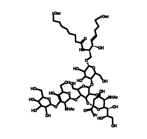 CCCCCCCCCCCCC/C=C/[C@H](O)[C@@H](CO[C@@H]1OC(CO)[C@@H](O[C@@H]2OC(CO)[C@H](O[C@@H]3OC(CO)C(O)=C(O[C@@H]4OC(CO)[C@H](O)C(O)C4O)C3NC(C)=O)C(O[C@]3(C(=O)C(C)C)CC(O)[C@@H](NC(C)=O)C([C@H](O)[C@H](O)CO)O3)C2O)C(O)C1O)NC(=O)CCCCCCCCCCCCCCCCC